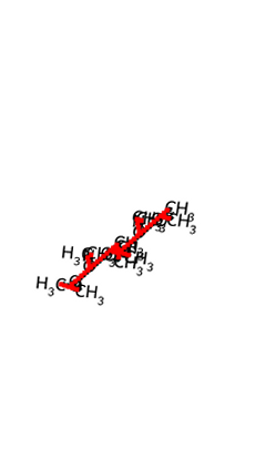 CCCCCC(CCCCC)CC(=O)OCCCCCCCCCC(CCCCCCCCCOC(=O)CC(CCCCC)CC(CCC)C(CCCC)C(CCCCC)CC(=O)OCCCCCCCCCC(CCCCCCCCCOC(=O)CC(CCCCC)CCCCC)OCCCCN(CC)CC)OCCCCN(C)CC